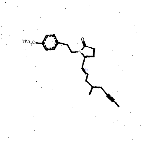 CC#CCC(C)C/C=C/C1CCC(=O)N1CCc1ccc(C(=O)O)cc1